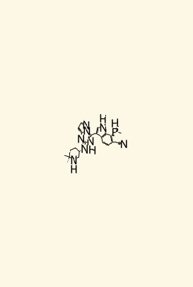 CPc1c(C#N)ccc2c(-c3nc(N[C@H]4CCC(C)(C)NC4)nc4ccnn34)c[nH]c12